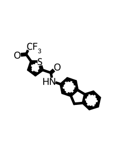 O=C(Nc1ccc2c(c1)Cc1ccccc1-2)c1ccc(C(=O)C(F)(F)F)s1